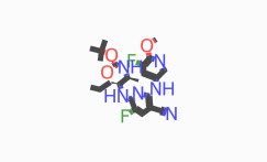 CCC[C@@H](Nc1nc(Nc2cnc(OC)c(F)c2)c(C#N)cc1F)[C@H](C)NC(=O)OC(C)(C)C